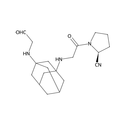 N#C[C@@H]1CCCN1C(=O)CNC12CC3CC(CC(NC[C]=O)(C3)C1)C2